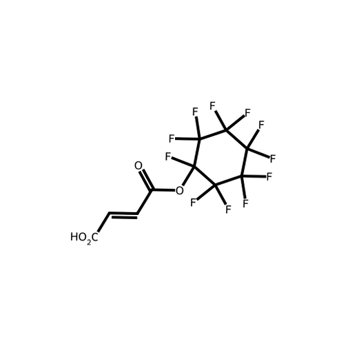 O=C(O)C=CC(=O)OC1(F)C(F)(F)C(F)(F)C(F)(F)C(F)(F)C1(F)F